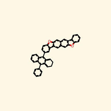 C1=c2c(-c3ccccc3)c3ccccc3c(-c3ccc4oc5cc6cc7c(cc6cc5c4c3)oc3ccccc37)c2=CCC1